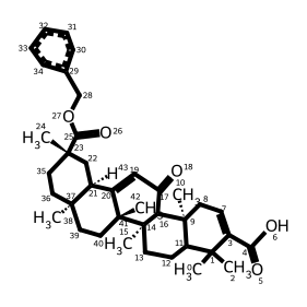 CC1(C)C(C(=O)O)=CC[C@@]2(C)C1CC[C@]1(C)C2C(=O)C=C2[C@@H]3C[C@@](C)(C(=O)OCc4ccccc4)CC[C@]3(C)CC[C@]21C